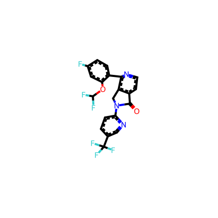 O=C1c2ccnc(-c3ccc(F)cc3OC(F)F)c2CN1c1ccc(C(F)(F)F)cn1